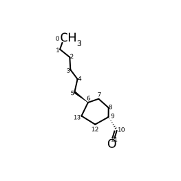 CCCCCC[C@H]1CC[C@H](C=O)CC1